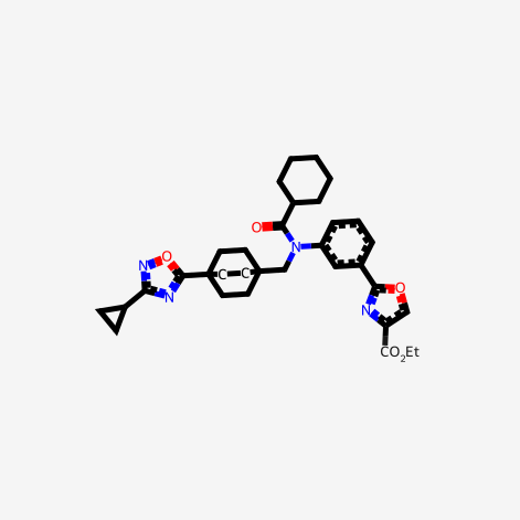 CCOC(=O)c1coc(-c2cccc(N(CC34CCC(c5nc(C6CC6)no5)(CC3)CC4)C(=O)C3CCCCC3)c2)n1